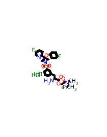 CC(C)C(OC(=O)[C@@H](N)Cc1cccc(S(=O)(=O)N2CC(Oc3ccc(F)cc3)(c3ccc(F)cn3)C2)c1)C(=O)N(C)C.Cl.Cl